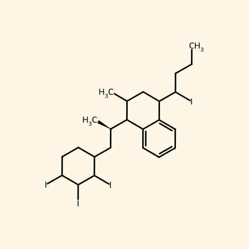 CCCC(I)C1CC(C)C([C@H](C)CC2CCC(I)C(I)C2I)c2ccccc21